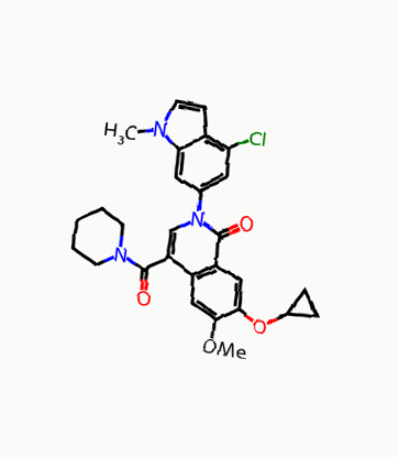 COc1cc2c(C(=O)N3CCCCC3)cn(-c3cc(Cl)c4ccn(C)c4c3)c(=O)c2cc1OC1CC1